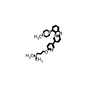 CN(C)CCCOc1ccc(-c2ccc3nc4cccc(N5CCN(C)CC5)c4n3c2)cn1